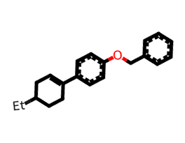 CCC1CC=C(c2ccc(OCc3ccccc3)cc2)CC1